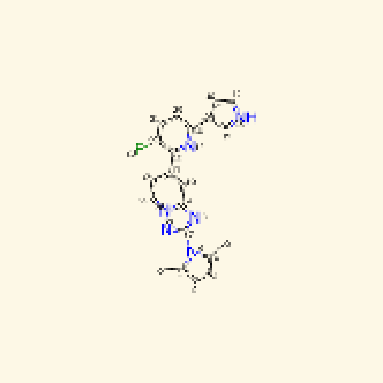 Cc1ccc(C)n1-c1nc2cc(-c3nc(-c4cc[nH]c4)ccc3F)ccn2n1